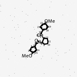 COc1ccc(C2ON2[C@@H]2CCCC[C@H]2N2OC2c2ccc(OC)cc2)cc1